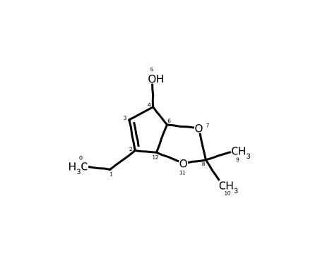 CCC1=CC(O)C2OC(C)(C)OC12